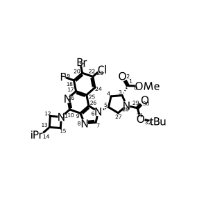 COC(=O)[C@H]1C[C@@H](n2cnc3c(N4CC(C(C)C)C4)nc4c(F)c(Br)c(Cl)cc4c32)CN1C(=O)OC(C)(C)C